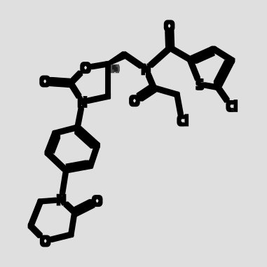 O=C(CCl)N(C[C@H]1CN(c2ccc(N3CCOCC3=O)cc2)C(=O)O1)C(=O)c1ccc(Cl)s1